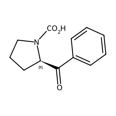 O=C(c1ccccc1)[C@H]1CCCN1C(=O)O